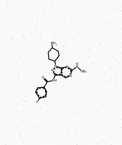 CCCCNc1ncc2c(NC(=O)c3ccc(F)cc3)nn(C3CCC(N)CC3)c2n1